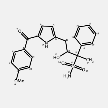 COc1ccc(C(=O)c2ccc(CC(O)C(C)(c3ccccc3)S(N)(=O)=O)[nH]2)cc1